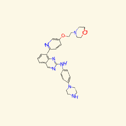 c1cc(-c2ccc(OCCN3CCOCC3)cn2)c2nc(Nc3ccc(N4CCNCC4)cc3)ncc2c1